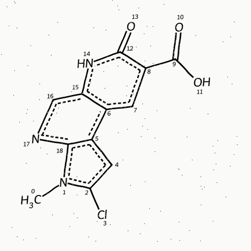 Cn1c(Cl)cc2c3cc(C(=O)O)c(=O)[nH]c3cnc21